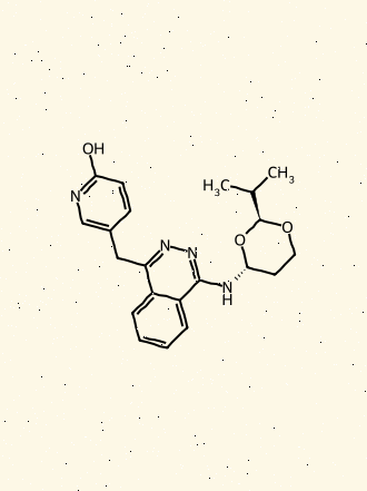 CC(C)[C@H]1OCC[C@H](Nc2nnc(Cc3ccc(O)nc3)c3ccccc23)O1